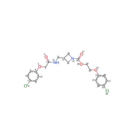 O=C(COc1ccc(Cl)cc1)NCC1CN(C(=O)OCCOc2ccc(Cl)cc2)C1